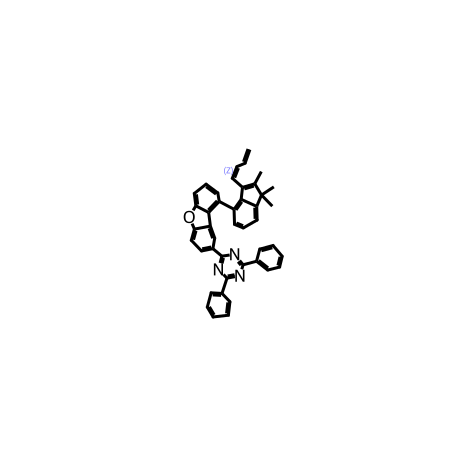 C=C/C=C\C1=C(C)C(C)(C)c2cccc(-c3cccc4oc5ccc(-c6nc(-c7ccccc7)nc(-c7ccccc7)n6)cc5c34)c21